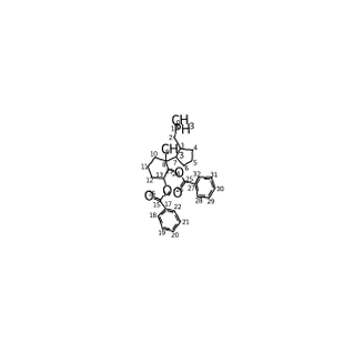 CPCC1CCCC1C1(C)CCCC(OC(=O)c2ccccc2)C1OC(=O)c1ccccc1